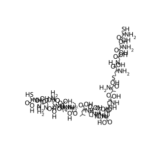 CC(C)C[C@H](N)C(=O)O.CC(C)[C@H](N)C(=O)O.CC[C@H](C)[C@H](N)C(=O)O.CSCC[C@H](N)C(=O)O.C[C@@H](O)[C@H](N)C(=O)O.NC(=O)C[C@H](N)C(=O)O.NCC(=O)O.NCC(=O)O.NCC(=O)O.N[C@@H](CO)C(=O)O.N[C@@H](CS)C(=O)O.N[C@@H](CS)C(=O)O.N[C@@H](Cc1c[nH]cn1)C(=O)O.O=C(O)[C@@H]1CCCN1.O=C(O)[C@@H]1CCCN1.O=C(O)[C@@H]1CCCN1